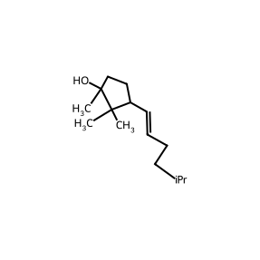 CC(C)CCC=CC1CCC(C)(O)C1(C)C